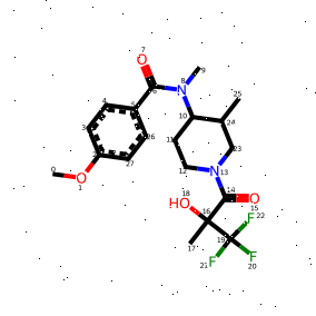 COc1ccc(C(=O)N(C)C2CCN(C(=O)C(C)(O)C(F)(F)F)CC2C)cc1